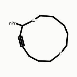 CCCC1C#CCCCCCCCCCC1